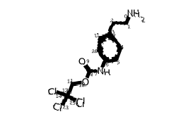 NCCc1ccc(NC(=O)OCC(Cl)(Cl)Cl)cc1